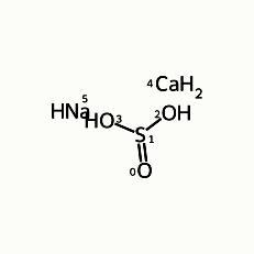 O=S(O)O.[CaH2].[NaH]